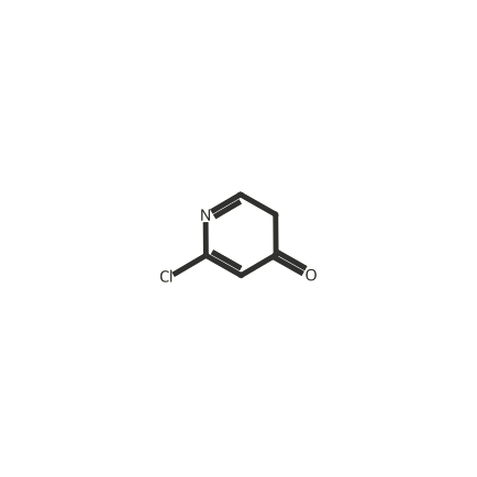 O=C1C=C(Cl)N=CC1